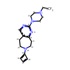 FC(F)(F)CN1CCN(c2ncc3c(n2)CCN(C2=CC=C2)CC3)CC1